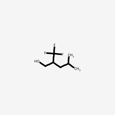 CC(C)CC(CO)C(F)(F)F